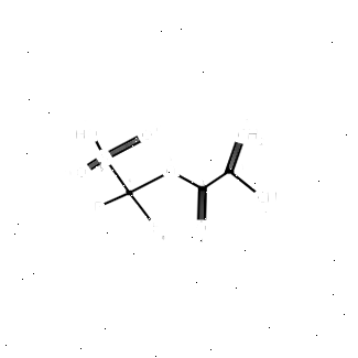 C=C(C)C(=O)OC(F)(F)S(=O)(=O)O